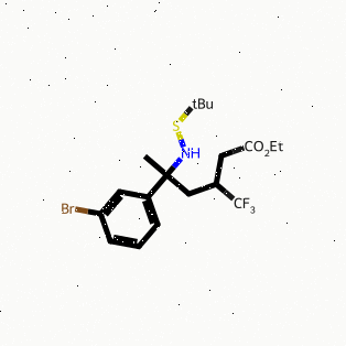 CCOC(=O)CC(CC(C)(NSC(C)(C)C)c1cccc(Br)c1)C(F)(F)F